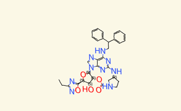 CCc1noc([C@H]2O[C@@H](n3cnc4c(NCC(c5ccccc5)c5ccccc5)nc(N[C@@H]5CCNC5)nc43)[C@H](OC=O)[C@@H]2O)n1